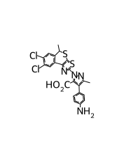 Cc1nn(-c2nc3c(s2)SC(C)c2cc(Cl)c(Cl)cc2-3)c(C(=O)O)c1-c1ccc(N)cc1